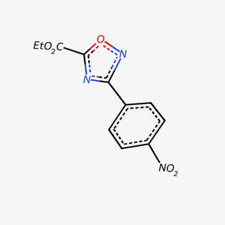 CCOC(=O)c1nc(-c2ccc([N+](=O)[O-])cc2)no1